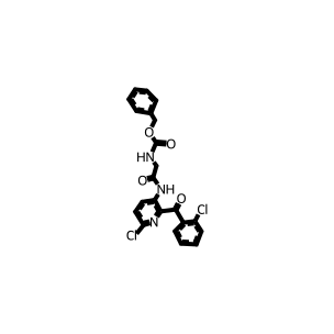 O=C(CNC(=O)OCc1ccccc1)Nc1ccc(Cl)nc1C(=O)c1ccccc1Cl